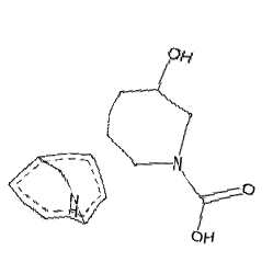 O=C(O)N1CCCC(O)C1.c1cc2ccc1CN2